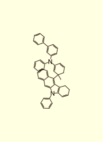 CC1(c2c3ccccc3cc3c2c2c(n3-c3ccccc3)C=CCC2)C=C(N(c2ccccc2)c2cccc(-c3ccccc3)c2)C=CC1